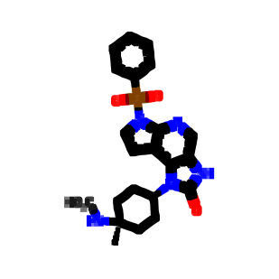 C[C@]1(NC(=O)O)CC[C@@H](n2c(=O)[nH]c3cnc4c(ccn4S(=O)(=O)c4ccccc4)c32)CC1